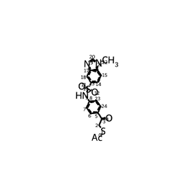 CC(=O)SCC(=O)c1ccc(NS(=O)(=O)c2ccc3c(c2)ncn3C)cc1